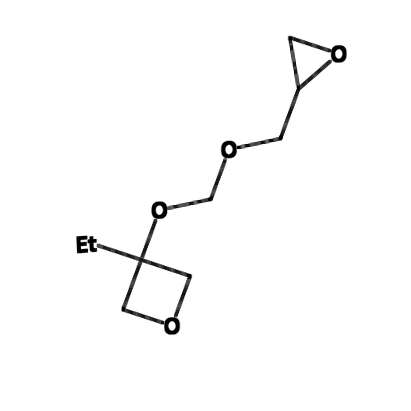 CCC1(OCOCC2CO2)COC1